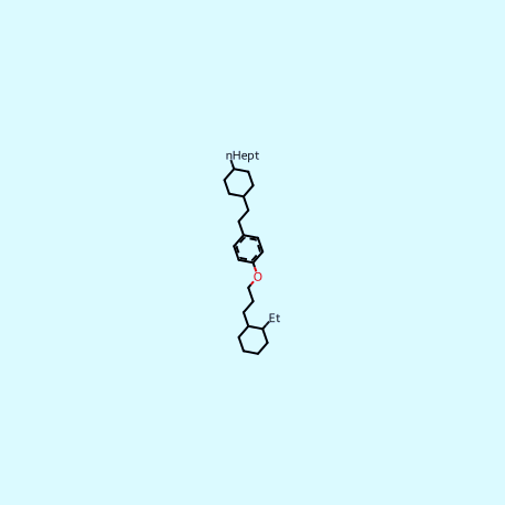 CCCCCCCC1CCC(CCc2ccc(OCCCC3CCCCC3CC)cc2)CC1